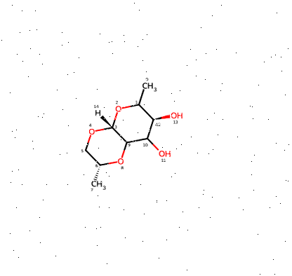 CC1O[C@H]2OC[C@@H](C)OC2C(O)[C@@H]1O